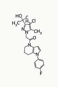 Cc1c(Cl)c(C(C)(C)O)nn1CC(=O)N1CCCc2c1ccn2-c1ccc(F)cc1